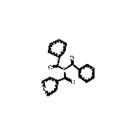 O=C(c1ccccc1)P(C(=O)c1ccccc1)C(=O)c1ccccc1